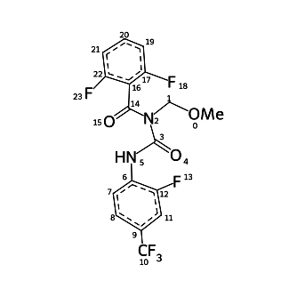 COCN(C(=O)Nc1ccc(C(F)(F)F)cc1F)C(=O)c1c(F)cccc1F